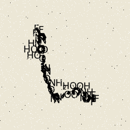 NC(COCc1cn(CCOC[C@H]2OC[C@H](Nc3nccc(C(F)(F)F)n3)[C@@H](O)[C@H]2O)nn1)COCc1cn(CCOC[C@H]2OC[C@H](Nc3nccc(C(F)(F)F)n3)[C@@H](O)[C@H]2O)nn1